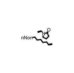 C=CCCCCCCCCCCCCCC.C=CN1CCCC1=O